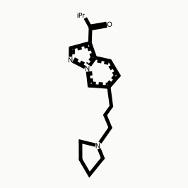 CC(C)C(=O)c1cnn2cc(CCCN3CCCC3)ccc12